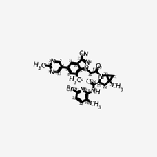 Cc1ncc(-c2cc(C)c3c(c2)c(C#N)nn3CC(=O)N2C3C[C@]3(C)C[C@H]2C(=O)Nc2nc(Br)ccc2C)cn1